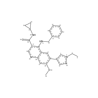 CCn1cc(-c2cc3c(NCc4ccccc4)c(C(=O)NC4CC4)cnc3cc2OC)cn1